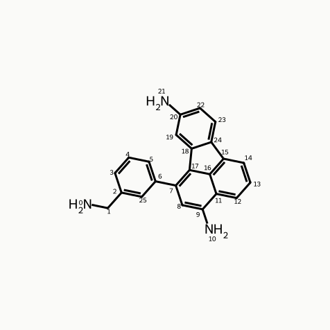 NCc1cccc(-c2cc(N)c3cccc4c3c2-c2cc(N)ccc2-4)c1